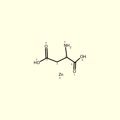 NC(CC(=O)O)C(=O)O.[Zn]